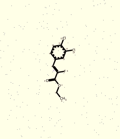 CCOC(=O)/C(F)=C/c1ccc(Cl)c(Cl)c1